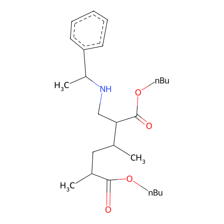 CCCCOC(=O)C(C)CC(C)C(CNC(C)c1ccccc1)C(=O)OCCCC